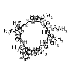 C/C=C(\C)[C@H]1OC(=O)[C@@H](CCCCN)NC(=O)[C@H](C(C)CC)NC(=O)CN(C)C(=O)[C@@H](Cc2ccccc2)N(C)C(=O)[C@H](C)NC(=O)[C@@H](CC(C)C)OC(=O)/C(C)=C/C[C@H](O)[C@@H]1C